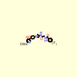 COc1ccc([C@]2(O)CC[C@H](N3CC(NC(=O)CNC(=O)c4ccc(C(F)(F)F)cc4)C3)CC2)cn1